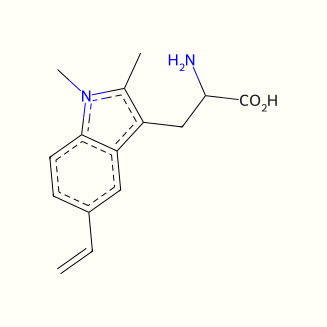 C=Cc1ccc2c(c1)c(CC(N)C(=O)O)c(C)n2C